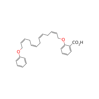 O=C(O)c1ccccc1OC/C=C\C/C=C\C/C=C\C/C=C\COc1ccccc1